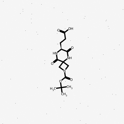 CC(C)(C)OC(=O)N1CC2(C1)NC(=O)[C@H](CCC(=O)O)NC2=O